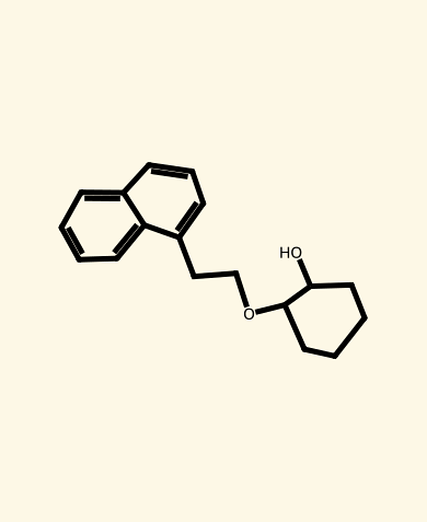 OC1CCCCC1OCCc1cccc2ccccc12